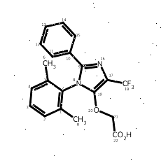 Cc1cccc(C)c1-n1c(-c2ccccc2)nc(C(F)(F)F)c1OCC(=O)O